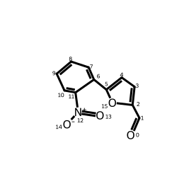 O=Cc1ccc(-c2ccccc2[N+](=O)[O-])o1